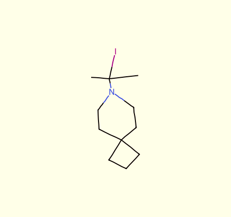 CC(C)(I)N1CCC2(CCC2)CC1